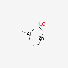 C[CH2][Zn][CH2]C.O.[CH3][Al]([CH3])[CH3]